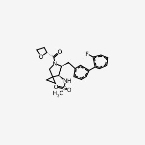 CS(=O)(=O)N[C@@H]1[C@H](Cc2cccc(-c3ccccc3F)c2)N(C(=O)[C@H]2CCO2)CC12CC2